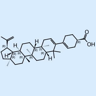 C=C(C)[C@@H]1CC[C@]2(C)CC[C@]3(C)[C@H](CC[C@@H]4[C@@]5(C)CC=C(C6=CC[C@H](C(=O)O)CC6)C(C)(C)[C@@H]5CC[C@]43C)[C@@H]12